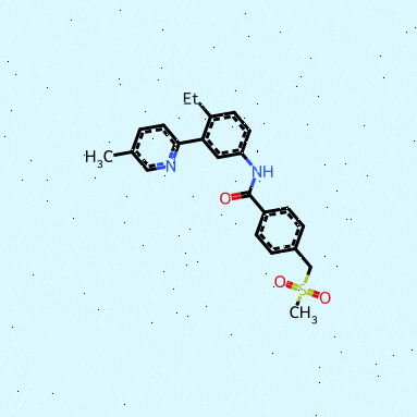 CCc1ccc(NC(=O)c2ccc(CS(C)(=O)=O)cc2)cc1-c1ccc(C)cn1